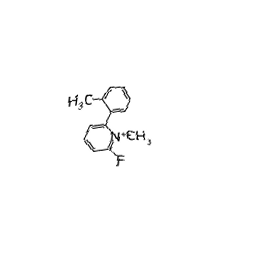 Cc1ccccc1-c1cccc(F)[n+]1C